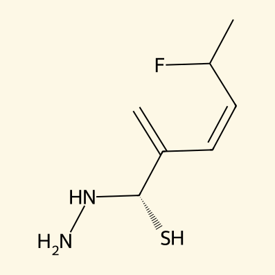 C=C(/C=C\C(C)F)[C@H](S)NN